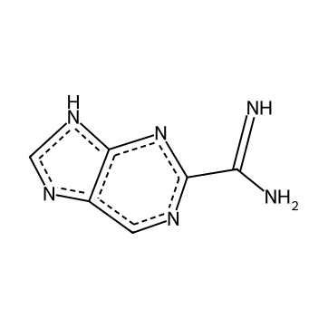 N=C(N)c1ncc2nc[nH]c2n1